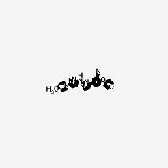 CN1CCN(c2ccc(Nc3nccc(-c4ccc(OC5CCOCC5)c(C#N)c4)n3)nn2)CC1